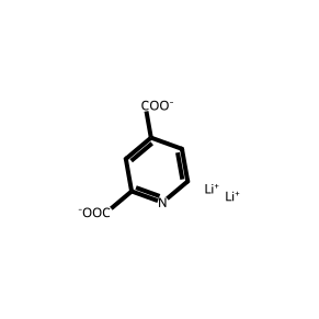 O=C([O-])c1ccnc(C(=O)[O-])c1.[Li+].[Li+]